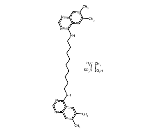 CS(=O)(=O)O.CS(=O)(=O)O.Cc1cc2ncnc(NCCCCCCCCCNc3ncnc4cc(C)c(C)cc34)c2cc1C